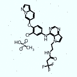 CS(=O)(=O)O.O=C(CC(F)(F)F)NCCn1ccc2ncnc(Nc3ccc(Oc4ccc5ccnn5c4)c(Cl)c3)c21